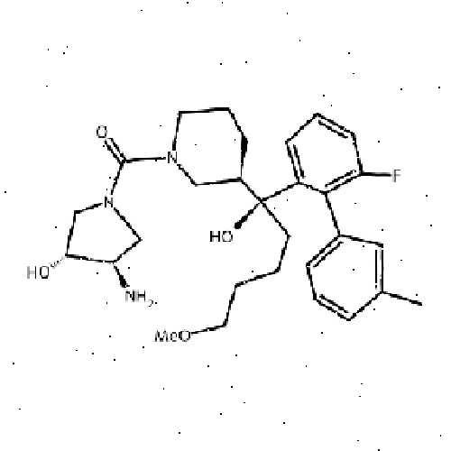 COCCCC[C@@](O)(c1cccc(F)c1-c1cccc(C)c1)[C@@H]1CCCN(C(=O)N2C[C@@H](N)[C@H](O)C2)C1